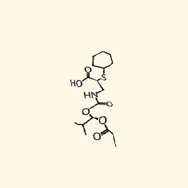 CCC(=O)O[C@H](OC(=O)NC[C@H](SC1CCCCC1)C(=O)O)C(C)C